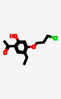 CCc1cc(C(C)=O)c(O)cc1OCCCCl